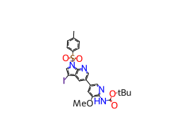 COc1cc(-c2cnc3c(c2)c(I)cn3S(=O)(=O)c2ccc(C)cc2)cnc1NC(=O)OC(C)(C)C